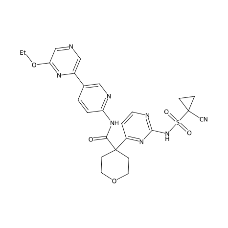 CCOc1cncc(-c2ccc(NC(=O)C3(c4ccnc(NS(=O)(=O)C5(C#N)CC5)n4)CCOCC3)nc2)n1